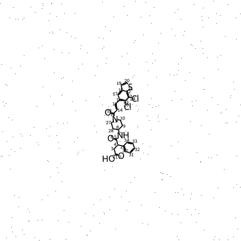 O=C(O)CC(C(=O)NC1CCN(C(=O)/C=C/c2cc3ccsc3c(Cl)c2Cl)CC1)c1ccccc1